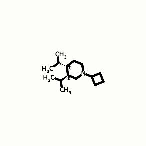 CC(C)[C@@H]1CCN(C2CCC2)C[C@H]1C(C)C